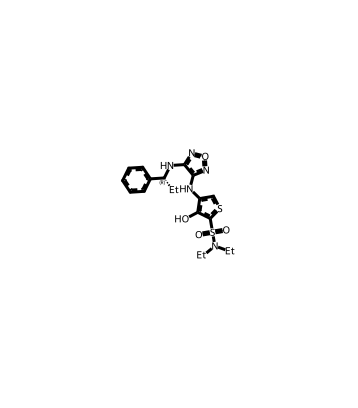 CC[C@@H](Nc1nonc1Nc1csc(S(=O)(=O)N(CC)CC)c1O)c1ccccc1